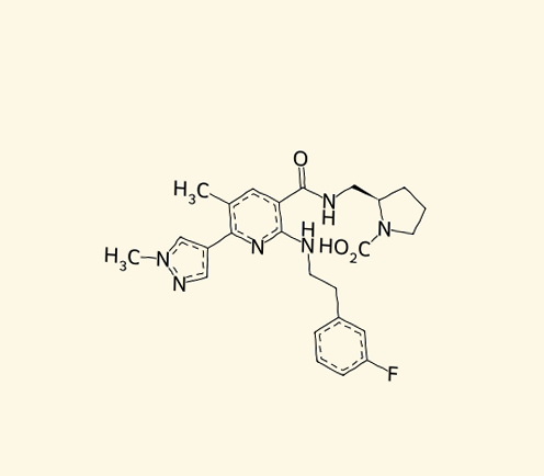 Cc1cc(C(=O)NC[C@H]2CCCN2C(=O)O)c(NCCc2cccc(F)c2)nc1-c1cnn(C)c1